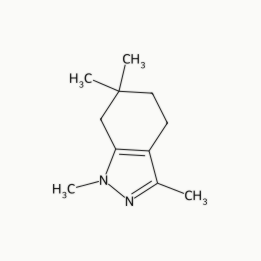 Cc1nn(C)c2c1CCC(C)(C)C2